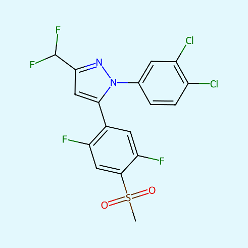 CS(=O)(=O)c1cc(F)c(-c2cc(C(F)F)nn2-c2ccc(Cl)c(Cl)c2)cc1F